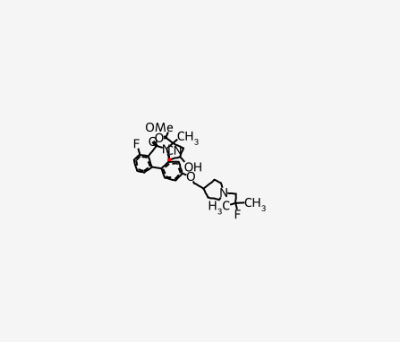 COC(=O)C1(C)CC(O)CN1C(=O)c1c(F)cccc1-c1ccc(OCC2CCN(CC(C)(C)F)CC2)cc1C#N